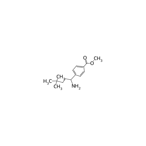 COC(=O)c1ccc(C(N)CCC(C)(C)C)cc1